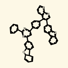 C1=CC2Oc3cc(-c4cc(-c5ccc(-c6c(-c7ccc8c(c7)sc7ccccc78)cnc7ncccc67)cc5)nc(-c5ccccc5)n4)ccc3C2C=C1